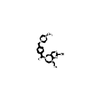 CN1CCN(Cc2ccc(C(=O)N3CCN(CC(C)(C)C)c4nc(C#N)ncc4C3)cc2)CC1